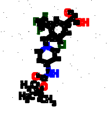 CC(C)(C)OC(=O)NC1CCN(Cc2c(Cl)cc(C(=O)O)cc2C(F)(F)F)CC1